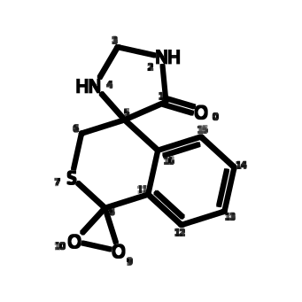 O=C1NCNC12CSC1(OO1)c1ccccc12